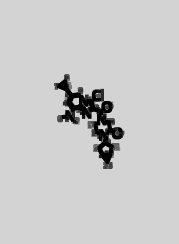 CN(C)c1cc(C2CC2)cn2c(Cl)c(C(=O)N3CCN(C4CC5CC5C4)C(=O)C3)nc12